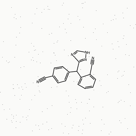 N#Cc1ccc(C(c2nc[nH]n2)c2ccccc2C#N)cc1